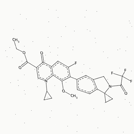 CCOC(=O)c1cn(C2CC2)c2c(OC)c(-c3ccc4c(c3)CN(C(=O)C(F)(F)F)C43CC3)c(F)cc2c1=O